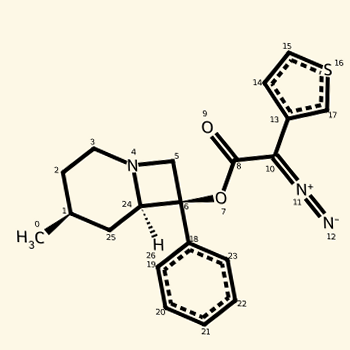 C[C@H]1CCN2C[C@](OC(=O)C(=[N+]=[N-])c3ccsc3)(c3ccccc3)[C@H]2C1